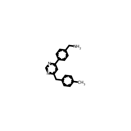 Cc1ccc(Cc2cc(-c3ccc(CN)cc3)ncn2)cc1